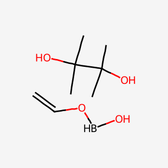 C=COBO.CC(C)(O)C(C)(C)O